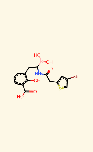 O=C(Cc1cc(Br)cs1)NC(Cc1cccc(C(=O)O)c1O)B(O)O